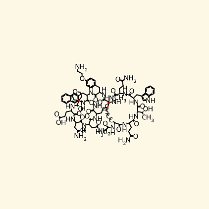 CNCCCCC(NC(=O)C(CC(N)=O)NC(=O)C(CC(N)=O)NC(=O)C(CCC(=O)O)NC(=O)C1(NC(=O)C(Cc2ccc3ccccc3c2)NC(=O)C(Cc2ccc(OCCN)cc2)NC(=O)C2CSCCC(NC(C)=O)C(=O)NC(CCC(N)=O)C(=O)NC(C(C)O)C(=O)NC(Cc3c[nH]c4ccccc34)C(=O)NC(CCC(N)=O)C(=O)N2)CCOCC1)C(N)=O